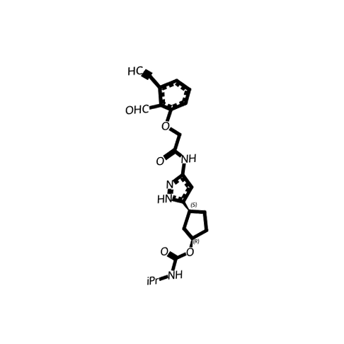 C#Cc1cccc(OCC(=O)Nc2cc([C@H]3CC[C@@H](OC(=O)NC(C)C)C3)[nH]n2)c1C=O